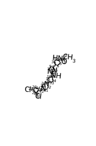 CC(=O)Nc1ccc(-c2ccnc(Nc3ccc(N4CCN(Cc5ccc(Cl)cc5Cl)CC4)cc3)n2)cc1